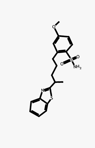 COc1ccc(S(N)(=O)=O)c(CCCC(C)c2nc3ccccc3s2)c1